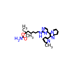 Cc1cccc(-c2nc3ccccn3c2-c2ccnc(NCCCCCC(C)(C)OC(N)=O)n2)n1